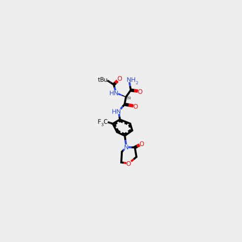 CC(C)(C)C(=O)N[C@@H](C(N)=O)C(=O)Nc1ccc(N2CCOCC2=O)cc1C(F)(F)F